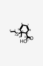 CCSC1(C)C=CC=CC1C(=O)O